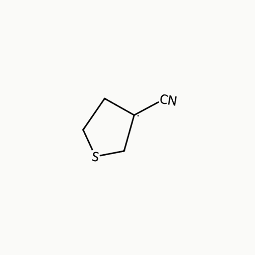 N#C[C]1CCSC1